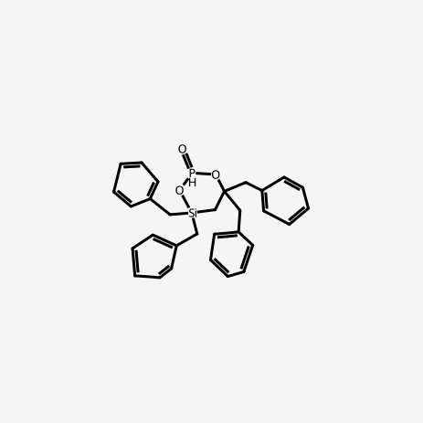 O=[PH]1OC(Cc2ccccc2)(Cc2ccccc2)C[Si](Cc2ccccc2)(Cc2ccccc2)O1